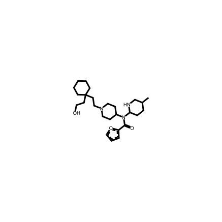 CC1CCC(N(C(=O)c2ccco2)C2CCN(CCC3(CCO)CCCCC3)CC2)NC1